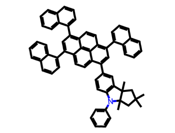 CC1(C)CC2(C)c3cc(-c4cc(-c5cccc6ccccc56)c5ccc6c(-c7cccc8ccccc78)cc(-c7cccc8ccccc78)c7ccc4c5c76)ccc3N(c3ccccc3)C2(C)C1